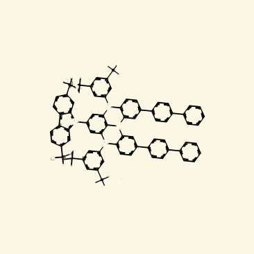 CC(C)(C)c1cc(N2c3ccc(-c4ccc(-c5ccccc5)cc4)cc3B3c4cc(-c5ccc(-c6ccccc6)cc5)ccc4N(c4cc(C(C)(C)C)cc(C(C)(C)C)c4)c4cc(-n5c6cc(C(C)(C)C)ccc6c6ccc(C(C)(C)C)cc65)cc2c43)cc(C(C)(C)C)c1